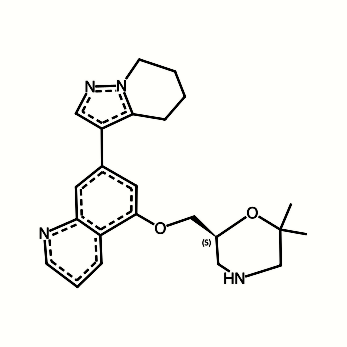 CC1(C)CNC[C@@H](COc2cc(-c3cnn4c3CCCC4)cc3ncccc23)O1